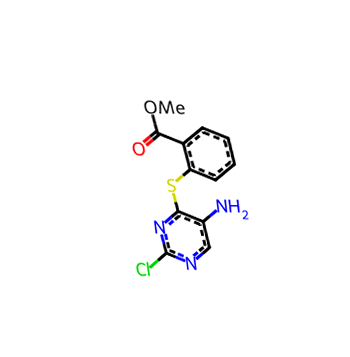 COC(=O)c1ccccc1Sc1nc(Cl)ncc1N